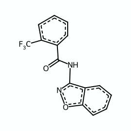 O=C(Nc1noc2ccccc12)c1ccccc1C(F)(F)F